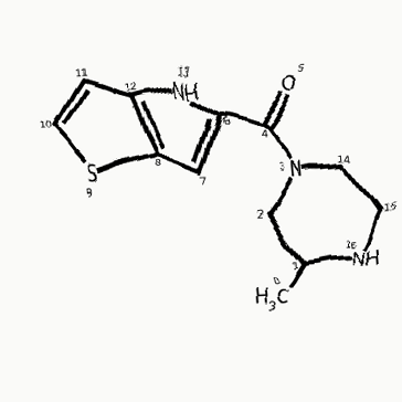 CC1CN(C(=O)c2cc3sccc3[nH]2)CCN1